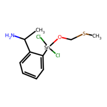 CSC[O][Sn]([Cl])([Cl])[c]1ccccc1C(C)N